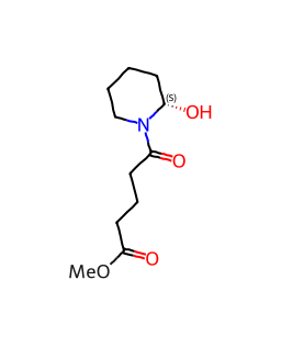 COC(=O)CCCC(=O)N1CCCC[C@@H]1O